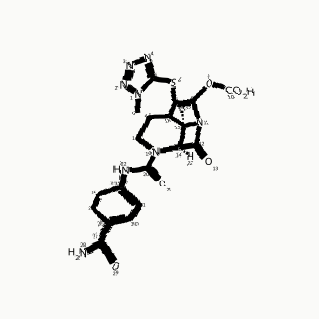 Cn1nnnc1SC1=C(OC(=O)O)N2C(=O)[C@@H]3[C@H]2C1CCN3C(=O)Nc1ccc(C(N)=O)cc1